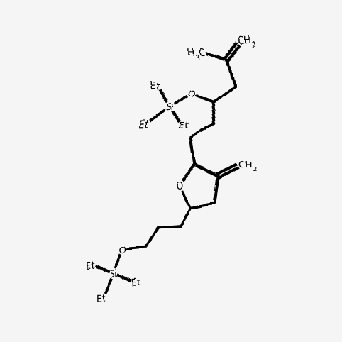 C=C(C)CC(CCC1OC(CCCO[Si](CC)(CC)CC)CC1=C)O[Si](CC)(CC)CC